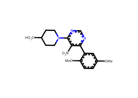 COc1ccc(OC)c(-c2ncnc(N3CCC(C(=O)O)CC3)c2[N+](=O)[O-])c1